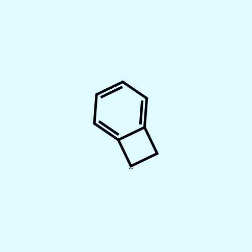 [C]1Cc2ccccc21